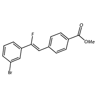 COC(=O)c1ccc(C=C(F)c2cccc(Br)c2)cc1